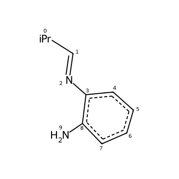 CC(C)/C=N/c1ccccc1N